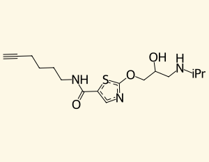 C#CCCCCNC(=O)c1cnc(OCC(O)CNC(C)C)s1